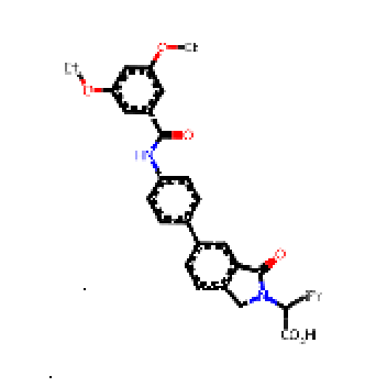 CCOc1cc(OCC)cc(C(=O)Nc2ccc(-c3ccc4c(c3)C(=O)N(C(C(=O)O)C(C)C)C4)cc2)c1